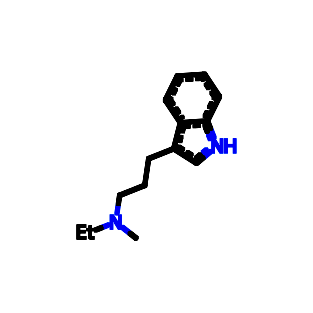 CCN(C)CCCc1c[nH]c2ccccc12